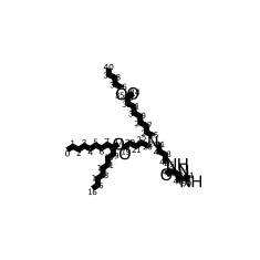 CCCCCCCCC(CCCCCCCC)OC(=O)CCCCN(CCCCCCCCC(=O)OCCCCC)CCCCNC(=O)c1c[nH]cn1